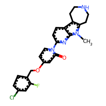 Cn1c2c(c3ccc(-n4ccc(OCc5ccc(Cl)cc5F)cc4=O)nc31)CCNCC2